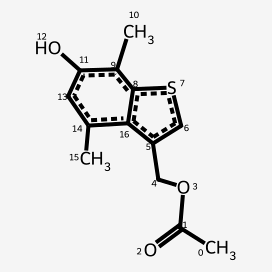 CC(=O)OCc1csc2c(C)c(O)cc(C)c12